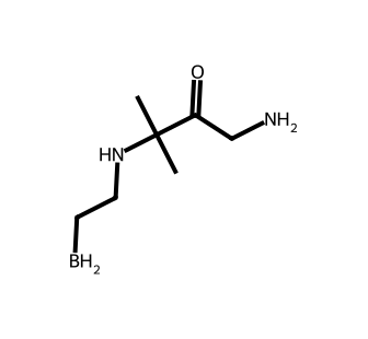 BCCNC(C)(C)C(=O)CN